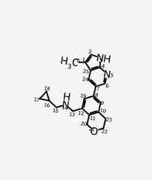 Cc1c[nH]c2ncc(-c3cc4c(c(CNCC5CC5)c3)COCC4)cc12